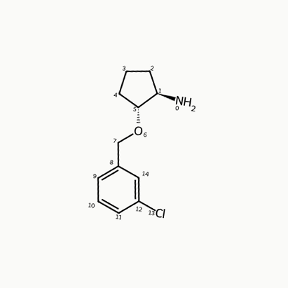 N[C@@H]1CCC[C@H]1OCc1cccc(Cl)c1